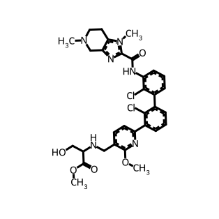 COC(=O)C(CO)NCc1ccc(-c2cccc(-c3cccc(NC(=O)c4nc5c(n4C)CCN(C)C5)c3Cl)c2Cl)nc1OC